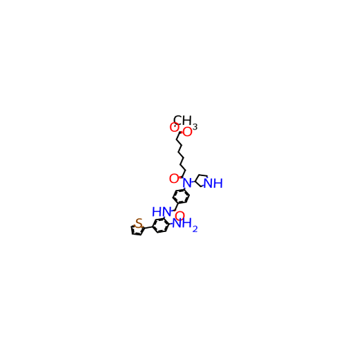 COC(=O)CCCCCCC(=O)N(c1ccc(C(=O)Nc2cc(-c3cccs3)ccc2N)cc1)[C@H]1CCNC1